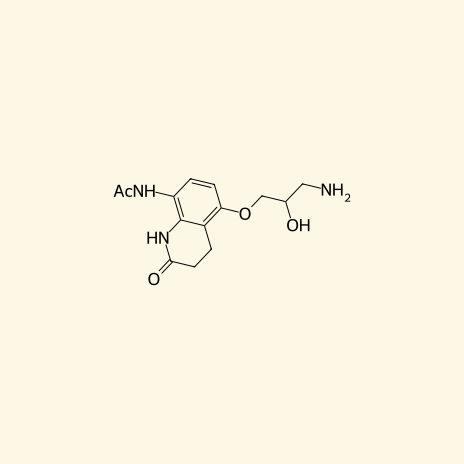 CC(=O)Nc1ccc(OCC(O)CN)c2c1NC(=O)CC2